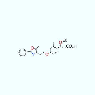 CCOC(CC(=O)O)c1ccc(OCCc2nc(-c3ccccc3)oc2C)cc1C